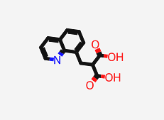 O=C(O)C(Cc1cccc2cccnc12)C(=O)O